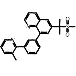 Cc1cccnc1-c1cccc(-c2cc(C(C)(C)S(C)(=O)=O)cc3cccnc23)c1